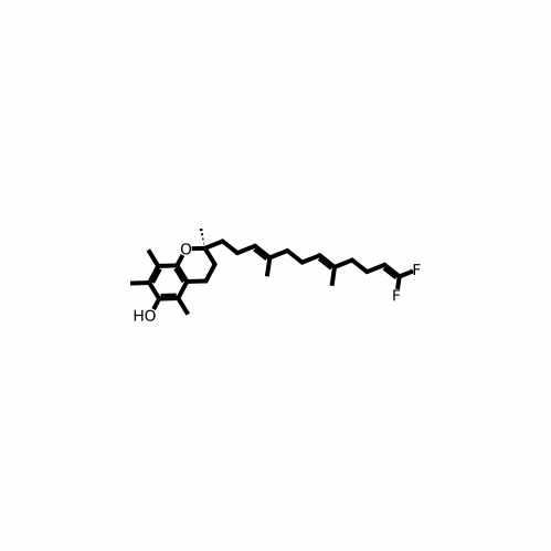 C/C(=C\CC/C(C)=C/CC[C@@]1(C)CCc2c(C)c(O)c(C)c(C)c2O1)CCC=C(F)F